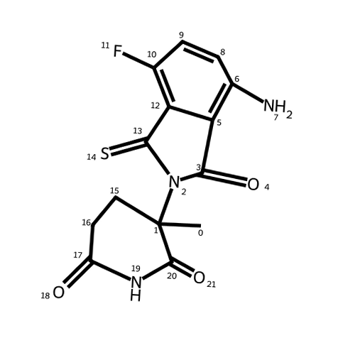 CC1(N2C(=O)c3c(N)ccc(F)c3C2=S)CCC(=O)NC1=O